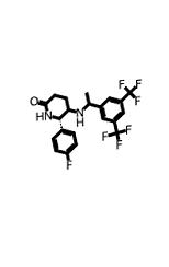 CC(NC1CCC(=O)N[C@H]1c1ccc(F)cc1)c1cc(C(F)(F)F)cc(C(F)(F)F)c1